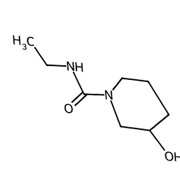 CCNC(=O)N1CCCC(O)C1